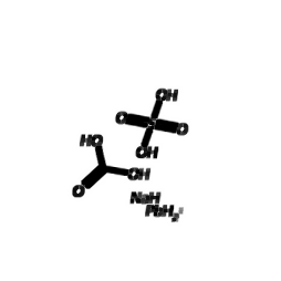 O=C(O)O.O=S(=O)(O)O.[NaH].[PbH2]